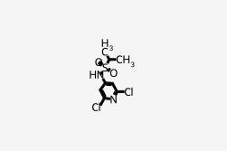 CC(C)S(=O)(=O)Nc1cc(Cl)nc(Cl)c1